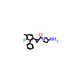 Cc1ccc(C2CC2C(=O)N2CCC(N)C2)c(-c2ccccc2)c1F